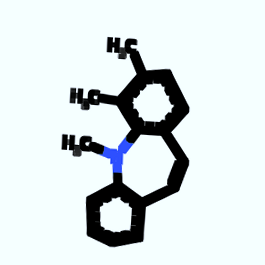 Cc1ccc2c(c1C)N(C)c1ccccc1C=C2